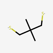 CC(C)(C[S])C[S]